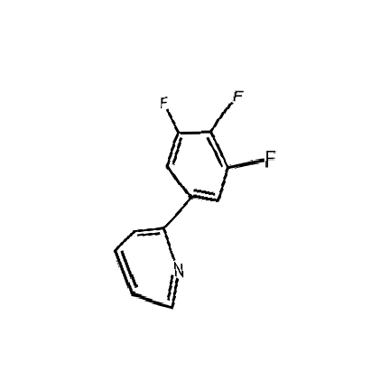 Fc1cc(-c2ccccn2)cc(F)c1F